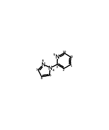 [c]1ccc(-n2cccn2)nc1